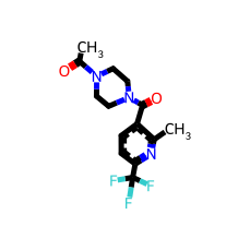 CC(=O)N1CCN(C(=O)c2ccc(C(F)(F)F)nc2C)CC1